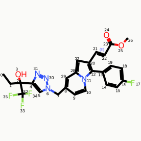 CCC(O)(c1cn(Cc2ccn3c(-c4ccc(F)cc4)c(/C=C/C(=O)OC)cc3c2)nn1)C(F)(F)F